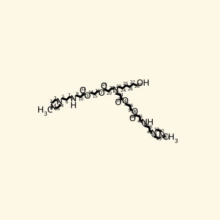 CN1CCN(CCCNCCC(=O)OCCCOC(=O)CCN(CCCCCCO)CCC(=O)OCCCOC(=O)CCNCCCN2CCN(C)CC2)CC1